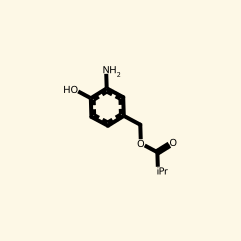 CC(C)C(=O)OCc1ccc(O)c(N)c1